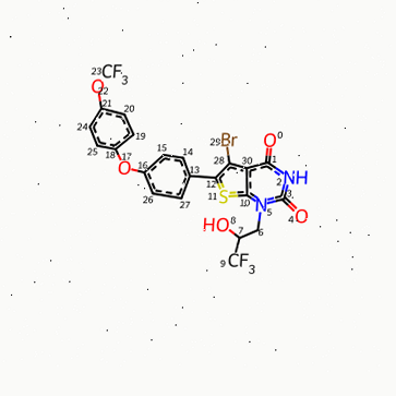 O=c1[nH]c(=O)n(CC(O)C(F)(F)F)c2sc(-c3ccc(Oc4ccc(OC(F)(F)F)cc4)cc3)c(Br)c12